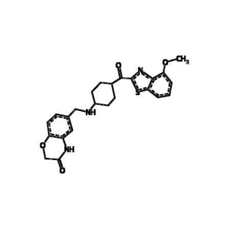 COc1cccc2sc(C(=O)C3CCC(NCc4ccc5c(c4)NC(=O)CO5)CC3)nc12